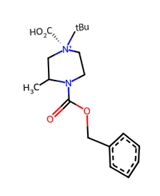 CC1C[N@@+](C(=O)O)(C(C)(C)C)CCN1C(=O)OCc1ccccc1